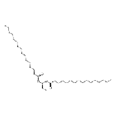 CCCCCCCCCCCCCCCC(=O)OC(CC)OC(=O)CCCCCCCCCCCCCCC